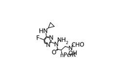 CCCCC[C@H](CN(O)C=O)C(=O)N(N)c1ncc(F)c(NC2CC2)n1